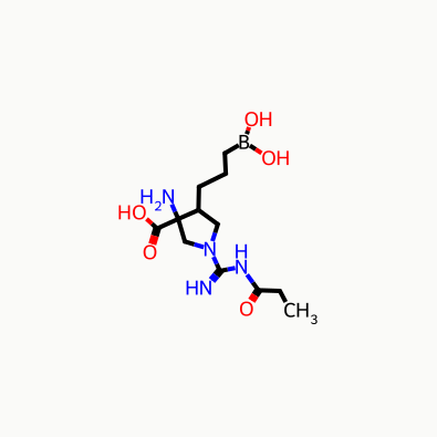 CCC(=O)NC(=N)N1CC(CCCB(O)O)C(N)(C(=O)O)C1